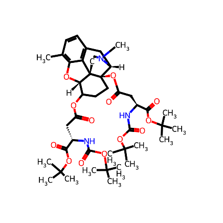 Cc1ccc2c3c1O[C@H]1C(OC(=O)C[C@H](NC(=O)OC(C)(C)C)C(=O)OC(C)(C)C)CC[C@@]4(OC(=O)C[C@H](NC(=O)OC(C)(C)C)C(=O)OC(C)(C)C)[C@@H](C2)N(C)CC[C@]314